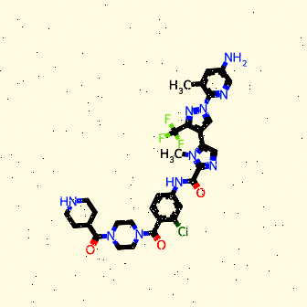 Cc1cc(N)cnc1-n1cc(-c2cnc(C(=O)Nc3ccc(C(=O)N4CCN(C(=O)C5CCNCC5)CC4)c(Cl)c3)n2C)c(C(F)(F)F)n1